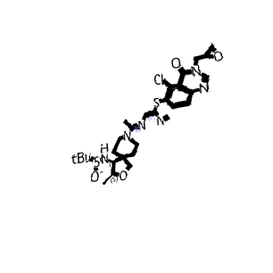 C=N/C(=C\N=C(/C)N1CCC2(CC1)CO[C@@H](C)[C@H]2N[S+]([O-])C(C)(C)C)Sc1ccc2ncn(CC3CO3)c(=O)c2c1Cl